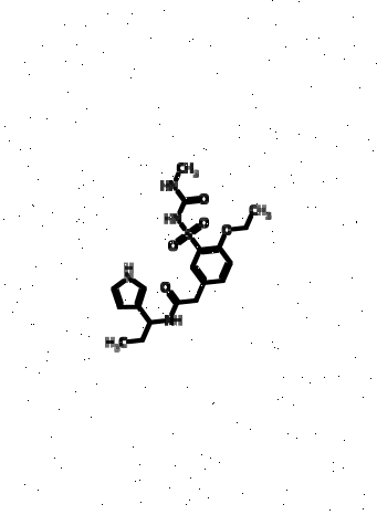 CCOc1ccc(CC(=O)NC(CC)c2cc[nH]c2)cc1S(=O)(=O)NC(=O)NC